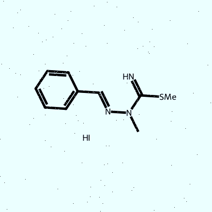 CSC(=N)N(C)N=Cc1ccccc1.I